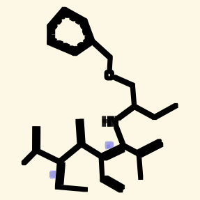 C=C/C(C(=C)/C(=C\C)C(=C)C)=C(/NC(CC)COCc1ccccc1)C(=C)C